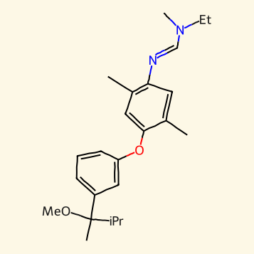 CCN(C)C=Nc1cc(C)c(Oc2cccc(C(C)(OC)C(C)C)c2)cc1C